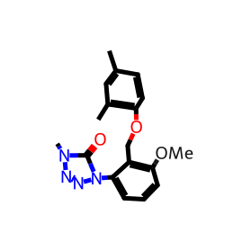 COc1cccc(-n2nnn(C)c2=O)c1COc1ccc(C)cc1C